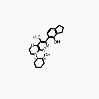 Cc1c(-c2ccc3c(c2O)CCC3)nnc2c1OCCN2[C@@H]1CCCC[C@H]1O